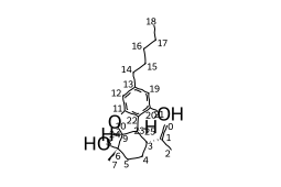 C=C(C)[C@@H]1CC[C@](C)(O)[C@@H]2Oc3cc(CCCCC)cc(O)c3[C@H]21